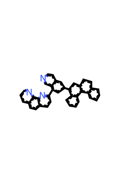 c1ccc2c(c1)ccc1cc(-c3cc(-c4ccc5ccc6cccnc6c5n4)c4cnccc4c3)c3ccccc3c12